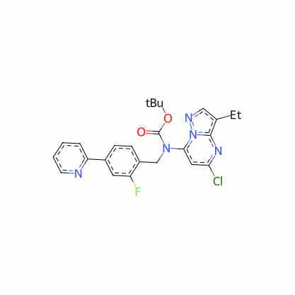 CCc1cnn2c(N(Cc3ccc(-c4ccccn4)cc3F)C(=O)OC(C)(C)C)cc(Cl)nc12